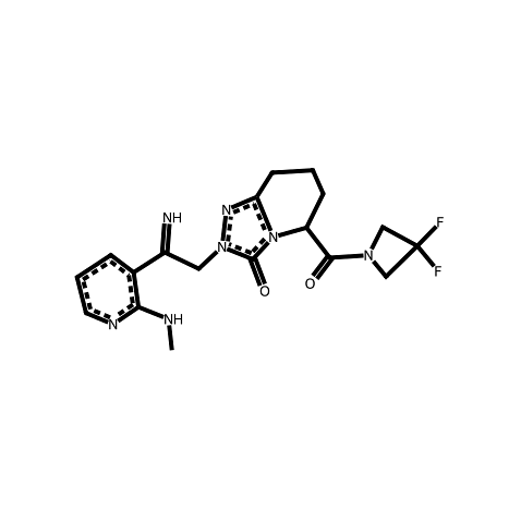 CNc1ncccc1C(=N)Cn1nc2n(c1=O)C(C(=O)N1CC(F)(F)C1)CCC2